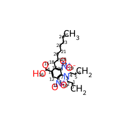 C=CCN(CC=C)c1c([N+](=O)[O-])cc(C(=O)O)c(CCCCCCCC)c1[N+](=O)[O-]